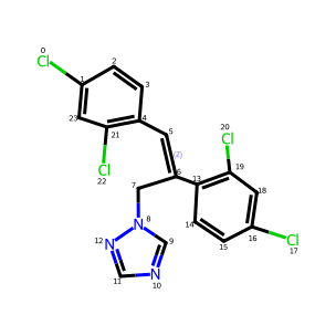 Clc1ccc(/C=C(\Cn2cncn2)c2ccc(Cl)cc2Cl)c(Cl)c1